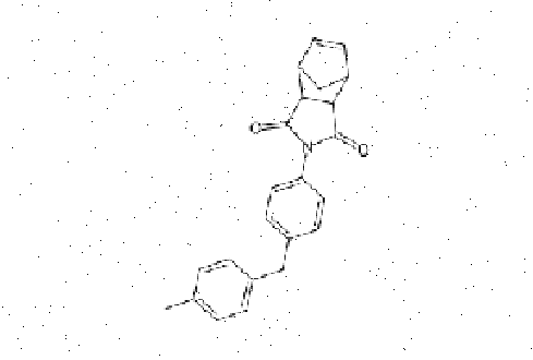 Cc1ccc(Cc2ccc(N3C(=O)C4C5C=CC(C5)C4C3=O)cc2)cc1